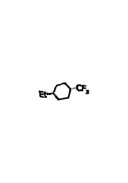 CC[C@H]1CC[C@H](C(F)(F)F)CC1